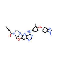 CC#CC(=O)N1CCN2CC1COc1cc3ncnc(Nc4ccc(Oc5ccc6c(c5)ncn6C)c(C)c4)c3nc12